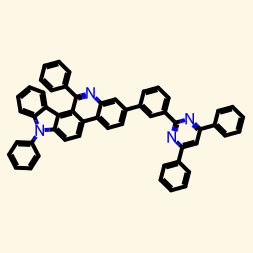 c1ccc(-c2cc(-c3ccccc3)nc(-c3cccc(-c4ccc5c(c4)nc(-c4ccccc4)c4c5ccc5c4c4ccccc4n5-c4ccccc4)c3)n2)cc1